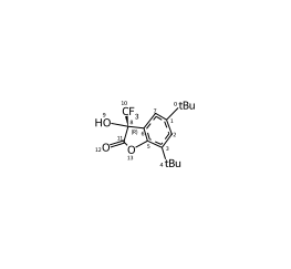 CC(C)(C)c1cc(C(C)(C)C)c2c(c1)[C@](O)(C(F)(F)F)C(=O)O2